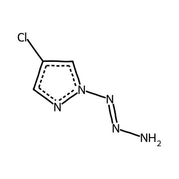 N/N=N/n1cc(Cl)cn1